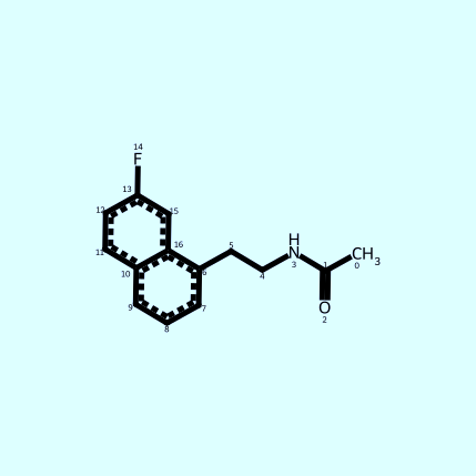 CC(=O)NCCc1cccc2ccc(F)cc12